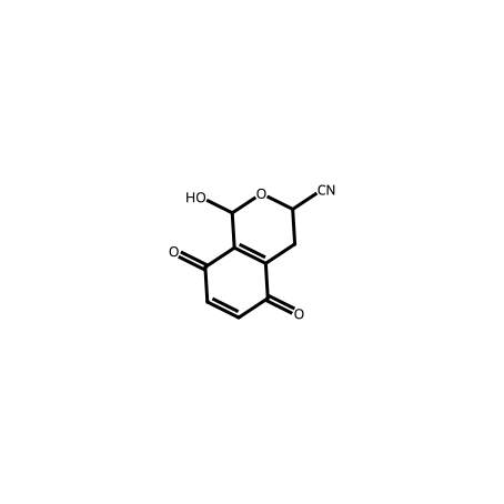 N#CC1CC2=C(C(=O)C=CC2=O)C(O)O1